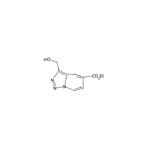 CCOC(=O)c1ccn2nnc(CO)c2c1